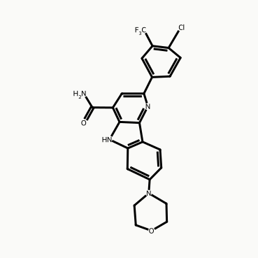 NC(=O)c1cc(-c2ccc(Cl)c(C(F)(F)F)c2)nc2c1[nH]c1cc(N3CCOCC3)ccc12